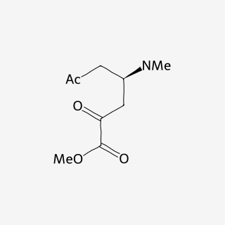 CN[C@H](CC(C)=O)CC(=O)C(=O)OC